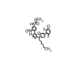 CCCCCCC(c1cc(-c2ccc(NC(=O)OC)cc2NC=O)ccn1)N1CCC(c2c(F)ccc(Cl)c2F)=CC1=O